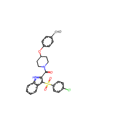 O=Cc1ccc(OC2CCN(C(=O)c3[nH]c4ccccc4c3S(=O)(=O)c3ccc(Cl)cc3)CC2)cc1